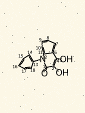 O=c1c(O)c(O)c2ccccc2n1-c1ccccc1